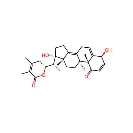 CC1=C(C)C(=O)O[C@@H]([C@@H](C)[C@@]2(O)CCC3=C4CC=C5[C@@H](O)C=CC(=O)[C@]5(C)[C@H]4CC[C@@]32C)C1